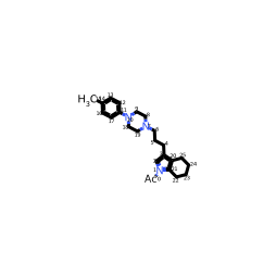 CC(=O)n1cc(CCCN2CCN(c3ccc(C)cc3)CC2)c2c1CCCC2